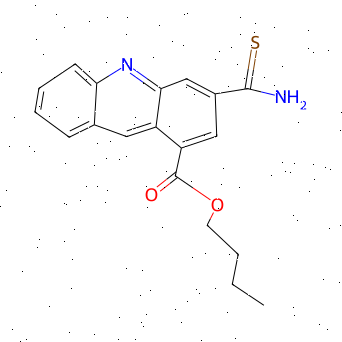 CCCCOC(=O)c1cc(C(N)=S)cc2nc3ccccc3cc12